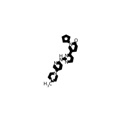 CN1CCN(c2ccc(Nc3nccc(-c4ccc(=O)n(C5CCCC5)c4)n3)nc2)CC1